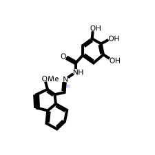 COc1c#cc2ccccc2c1/C=N/NC(=O)c1cc(O)c(O)c(O)c1